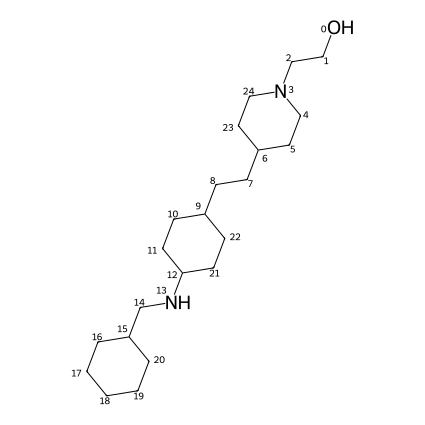 OCCN1CCC(CCC2CCC(NCC3CCCCC3)CC2)CC1